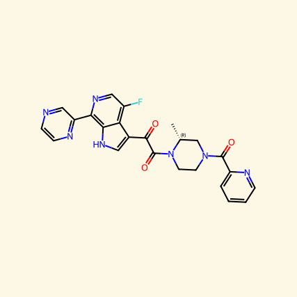 C[C@@H]1CN(C(=O)c2ccccn2)CCN1C(=O)C(=O)c1c[nH]c2c(-c3cnccn3)ncc(F)c12